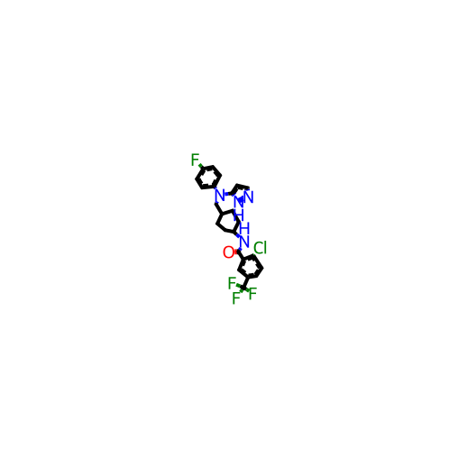 O=C(NC1CCC(CN(c2ccc(F)cc2)c2ccn[nH]2)CC1)c1cc(C(F)(F)F)ccc1Cl